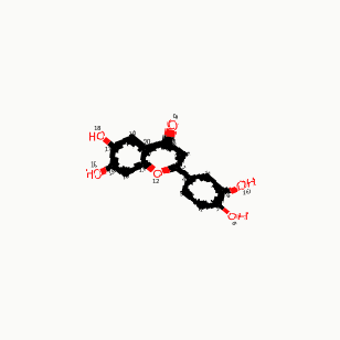 O=c1cc(-c2ccc(O)c(O)c2)oc2cc(O)c(O)cc12